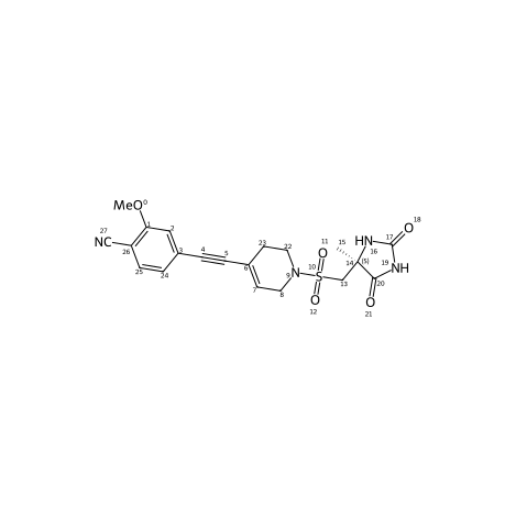 COc1cc(C#CC2=CCN(S(=O)(=O)C[C@@]3(C)NC(=O)NC3=O)CC2)ccc1C#N